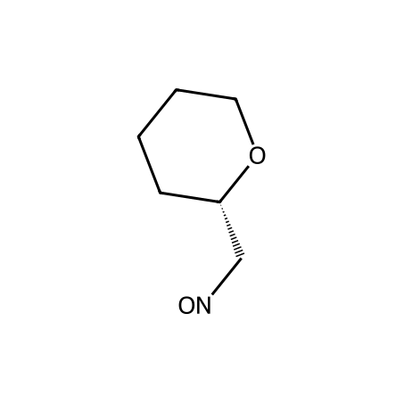 O=NC[C@@H]1CCCCO1